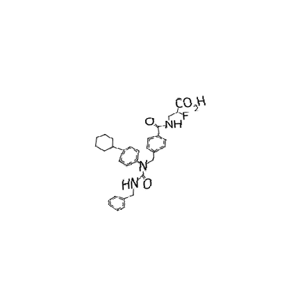 O=C(NCC(F)C(=O)O)c1ccc(CN(C(=O)NCc2ccccc2)c2ccc(C3CCCCC3)cc2)cc1